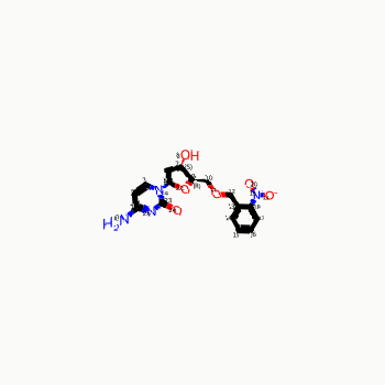 Nc1ccn([C@H]2C[C@H](O)[C@@H](COCc3ccccc3[N+](=O)[O-])O2)c(=O)n1